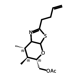 C=CCCC1=NC2C(O[C@H](COC(C)=O)[C@@H](C)[C@@H]2C)S1